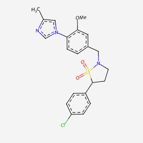 COc1cc(CN2CCC(c3ccc(Cl)cc3)S2(=O)=O)ccc1-n1cnc(C)c1